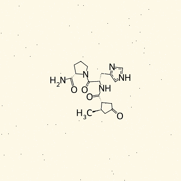 C[C@@H]1CC(=O)C[C@H]1C(=O)N[C@@H](Cc1c[nH]cn1)C(=O)N1CCC[C@H]1C(N)=O